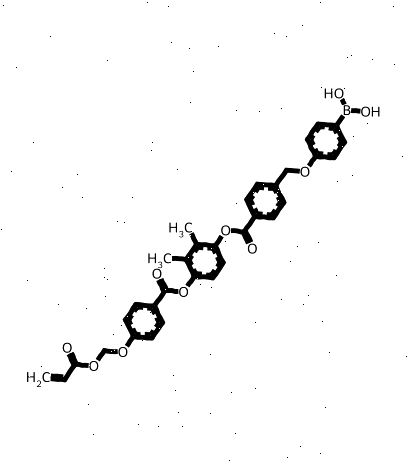 C=CC(=O)OCOc1ccc(C(=O)Oc2ccc(OC(=O)c3ccc(COc4ccc(B(O)O)cc4)cc3)c(C)c2C)cc1